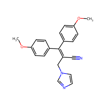 COc1ccc(C(=C(C#N)Cn2ccnc2)c2ccc(OC)cc2)cc1